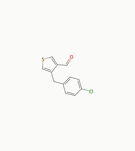 O=Cc1cscc1Cc1ccc(Cl)cc1